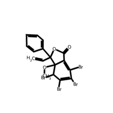 C=CC1(c2ccccc2)OC(=O)C2=C(Br)C(Br)=C(Br)C(Br)C21OC